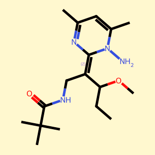 CCC(OC)/C(CNC(=O)C(C)(C)C)=C1/N=C(C)C=C(C)N1N